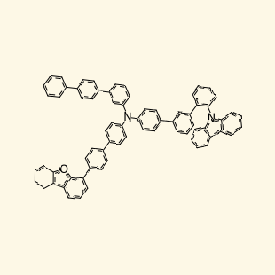 C1=Cc2oc3c(-c4ccc(-c5ccc(N(c6ccc(-c7cccc(-c8ccccc8-n8c9ccccc9c9ccccc98)c7)cc6)c6cccc(-c7ccc(-c8ccccc8)cc7)c6)cc5)cc4)cccc3c2CC1